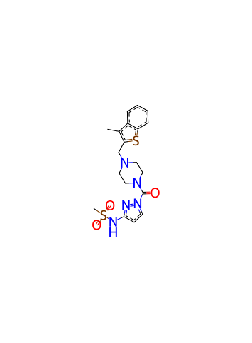 Cc1c(CN2CCN(C(=O)n3ccc(NS(C)(=O)=O)n3)CC2)sc2ccccc12